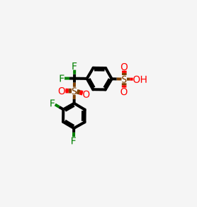 O=S(=O)(O)c1ccc(C(F)(F)S(=O)(=O)c2ccc(F)cc2F)cc1